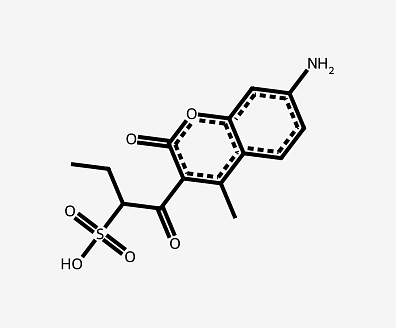 CCC(C(=O)c1c(C)c2ccc(N)cc2oc1=O)S(=O)(=O)O